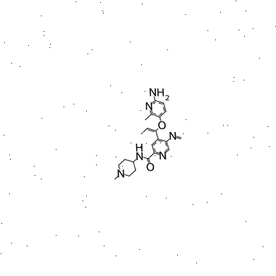 C=Nc1cnc(C(=O)NC2CCN(C)CC2)cc1/C(=C\C)Oc1ccc(N)nc1C